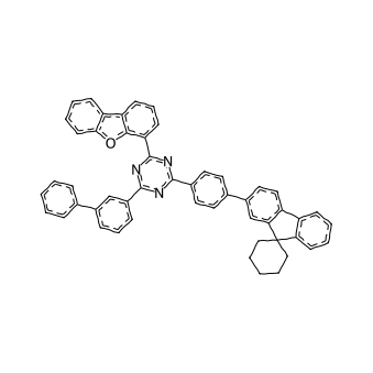 c1ccc(-c2cccc(-c3nc(-c4ccc(-c5ccc6c(c5)C5(CCCCC5)c5ccccc5-6)cc4)nc(-c4cccc5c4oc4ccccc45)n3)c2)cc1